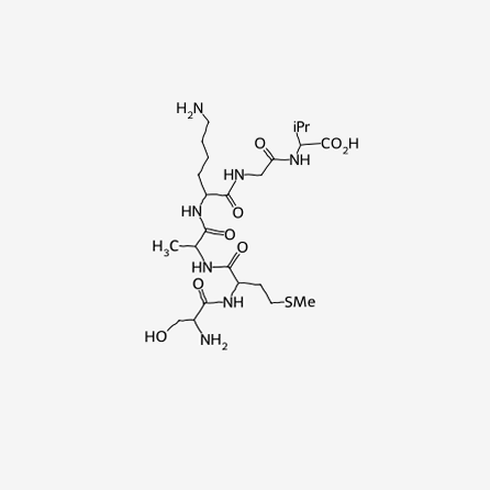 CSCCC(NC(=O)C(N)CO)C(=O)NC(C)C(=O)NC(CCCCN)C(=O)NCC(=O)NC(C(=O)O)C(C)C